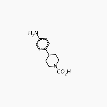 Nc1ccc(C2CCN(C(=O)O)CC2)cc1